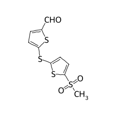 CS(=O)(=O)c1ccc(Sc2ccc(C=O)s2)s1